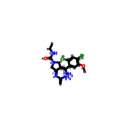 C=C(N)/N=C1/CN(C(=O)NCC)C/C1=C(/N)c1cc(OC)c(Br)cc1Cl